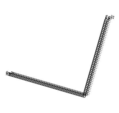 [Fe+3].[Fe+3].[Fe+3].[O-2].[O-2].[O-2].[O-2].[O-2].[O-2].[O-2].[O-2].[O-2].[O-2].[O-2].[O-2].[O-2].[O-2].[O-2].[O-2].[O-2].[O-2].[O-2].[O-2].[O-2].[O-2].[O-2].[O-2].[O-2].[O-2].[O-2].[O-2].[O-2].[O-2].[O-2].[O-2].[O-2].[O-2].[O-2].[O-2].[O-2].[O-2].[O-2].[O-2].[O-2].[O-2].[O-2].[O-2].[O-2].[O-2].[O-2].[O-2].[O-2].[O-2].[O-2].[O-2].[O-2].[O-2].[O-2].[O-2].[O-2].[O-2].[O-2].[O-2].[O-2].[O-2].[O-2].[O-2].[O-2].[O-2].[O-2].[O-2].[O-2].[O-2].[O-2].[O-2].[O-2].[O-2].[O-2].[O-2].[O-2].[O-2].[O-2].[O-2].[O-2].[O-2].[O-2].[O-2].[O-2].[O-2].[O-2].[O-2].[O-2].[O-2].[O-2].[O-2].[O-2]